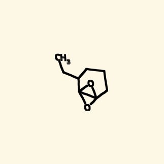 CCC1CCCC23OC12O3